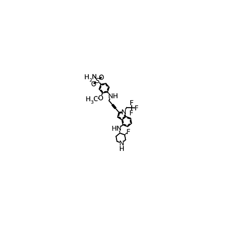 COc1cc(S(N)(=O)=O)ccc1NCC#Cc1cc2c(N[C@@H]3CCNC[C@@H]3F)cccc2n1CC(F)(F)F